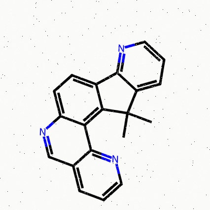 CC1(C)c2cccnc2-c2ccc3ncc4cccnc4c3c21